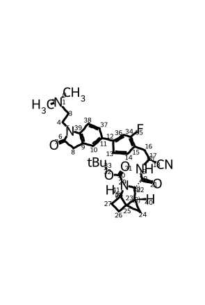 CN(C)CCN1C(=O)Cc2cc(-c3ccc(C[C@@H](C#N)NC(=O)[C@@H]4[C@@H]5CC56CC[C@H]6N4C(=O)OC(C)(C)C)c(F)c3)ccc21